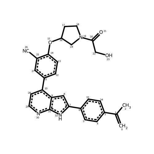 C=C(C)c1ccc(-c2cc3c(-c4ccc(OC5CCN(C(=O)CO)C5)c(C#N)c4)ccnc3[nH]2)cc1